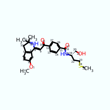 COc1ccc2c(c1)/C(=C/C(=O)c1ccc(C(=O)N[C@H](CO)CCSC)cc1)NC(C)(C)C2